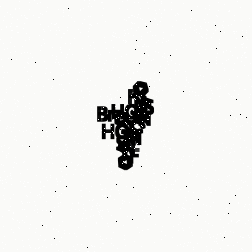 Cc1nn(-c2nc(-c3ccccc3F)cs2)c(O)c1C(c1ccc(Br)cc1)c1c(C)nn(-c2nc(-c3ccccc3F)cs2)c1O